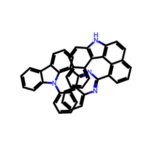 c1ccc(-n2c3ccccc3c3cccc(-c4nc(-c5cccc6ccc7[nH]c8ccc9ccccc9c8c7c56)nc5ccccc45)c32)cc1